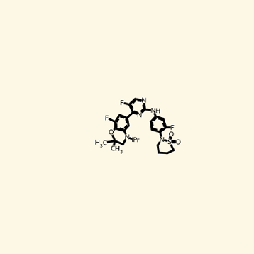 CC(C)N1CC(C)(C)Oc2c(F)cc(-c3nc(Nc4ccc(N5CCCCS5(=O)=O)c(F)c4)ncc3F)cc21